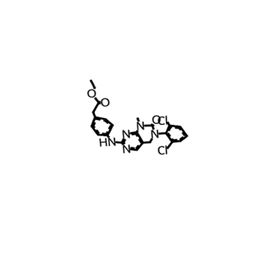 CCOC(=O)Cc1ccc(Nc2ncc3c(n2)N(C)C(=O)N(c2c(Cl)cccc2Cl)C3)cc1